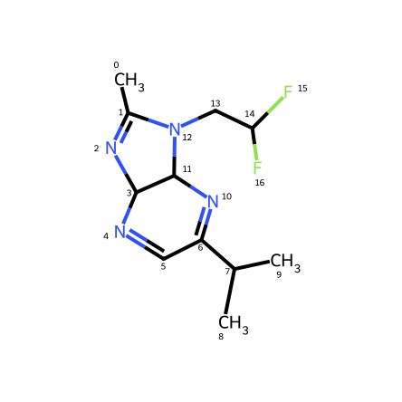 CC1=NC2N=CC(C(C)C)=NC2N1CC(F)F